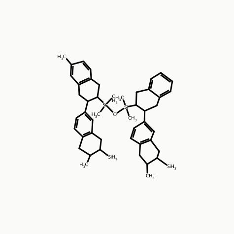 Cc1ccc2c(c1)CC(c1ccc3c(c1)CC([SiH3])C(C)C3)C([Si](C)(C)O[Si](C)(C)C1Cc3ccccc3CC1c1ccc3c(c1)CC([SiH3])C(C)C3)C2